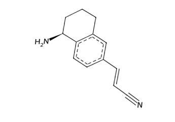 N#C/C=C/c1ccc2c(c1)CCC[C@@H]2N